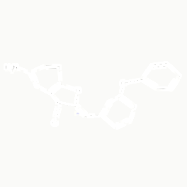 Nc1ccc2c(c1)C(=O)/C(=C/c1cccc(Oc3ccccc3)c1)O2